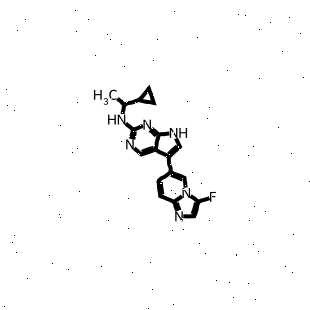 CC(Nc1ncc2c(-c3ccc4ncc(F)n4c3)c[nH]c2n1)C1CC1